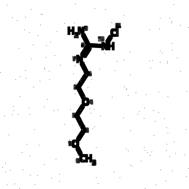 COCCOCCN=C(N)NCl